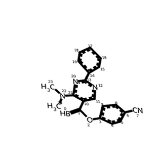 B=C(Oc1ccc(C#N)cc1)c1cnc(-c2ccccc2)nc1N(C)C